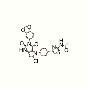 CC(=O)Nc1nc(-c2ccc(-n3c(Cl)cc4[nH]c(=O)n(-c5ccc6c(c5)OCO6)c(=O)c43)cc2)cs1